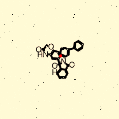 O=C1COc2ccc(C3(O)c4ccccc4C(=O)N3c3cccc(-c4ccccc4)c3)cc2N1